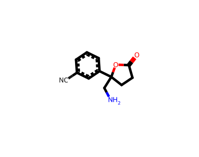 N#Cc1cccc(C2(CN)CCC(=O)O2)c1